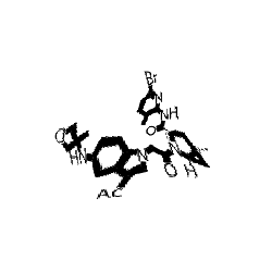 CC(=O)c1cn(CC(=O)N2[C@H](C(=O)Nc3nc(Br)ccc3C)C[C@@]3(C)C[C@@H]23)c2ccc(NC3(C)COC3)cc12